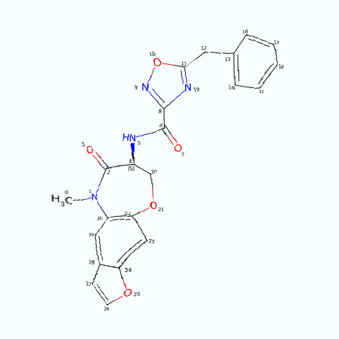 CN1C(=O)[C@@H](NC(=O)c2noc(Cc3ccccc3)n2)COc2cc3occc3cc21